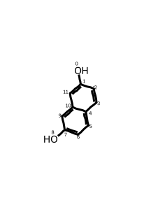 Oc1[c]cc2ccc(O)cc2c1